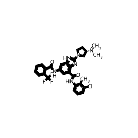 Cc1c(Cl)cccc1NC(=O)c1cc(NC(=O)c2ccccc2C(F)(F)F)cc2[nH]c(N3CC[C@H](N(C)C)C3)nc12